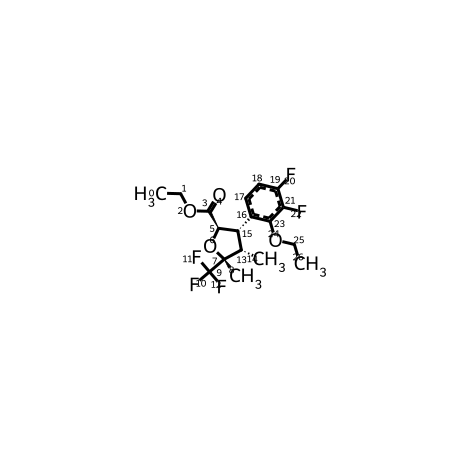 CCOC(=O)[C@@H]1O[C@@](C)(C(F)(F)F)[C@@H](C)[C@H]1c1ccc(F)c(F)c1OCC